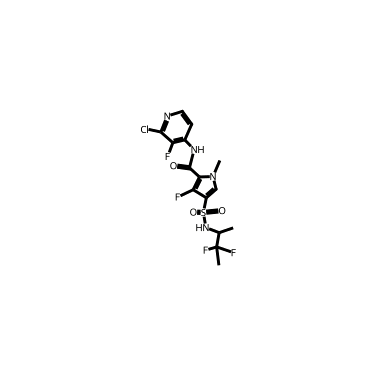 CC(NS(=O)(=O)c1cn(C)c(C(=O)Nc2ccnc(Cl)c2F)c1F)C(C)(F)F